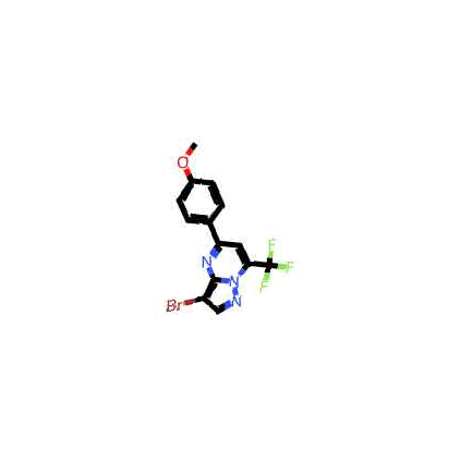 COc1ccc(-c2cc(C(F)(F)F)n3ncc(Br)c3n2)cc1